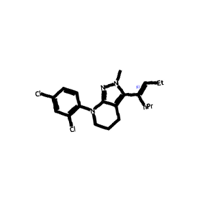 CC/C=C(\CCC)c1c2c(nn1C)N(c1ccc(Cl)cc1Cl)CCC2